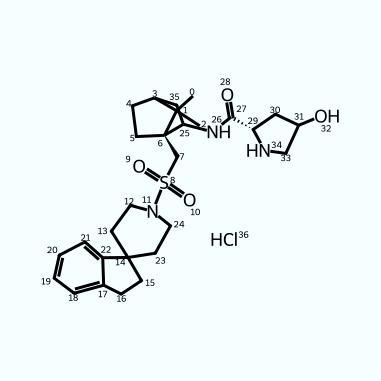 CC1(C)C2CC[C@@]1(CS(=O)(=O)N1CCC3(CCc4ccccc43)CC1)C(NC(=O)[C@@H]1CC(O)CN1)C2.Cl